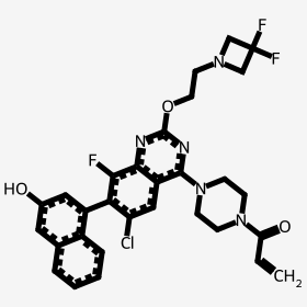 C=CC(=O)N1CCN(c2nc(OCCN3CC(F)(F)C3)nc3c(F)c(-c4cc(O)cc5ccccc45)c(Cl)cc23)CC1